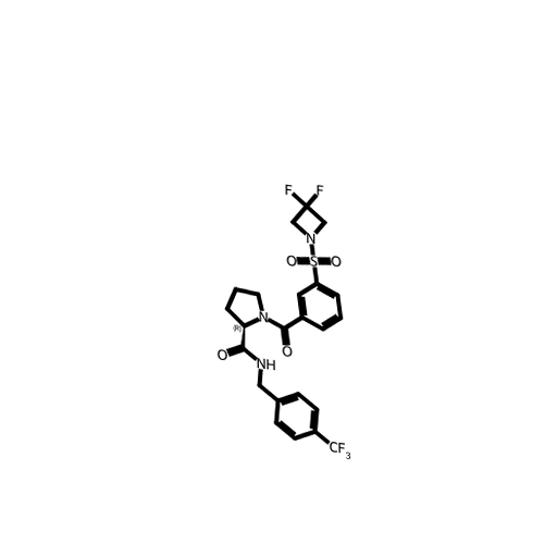 O=C(NCc1ccc(C(F)(F)F)cc1)[C@H]1CCCN1C(=O)c1cccc(S(=O)(=O)N2CC(F)(F)C2)c1